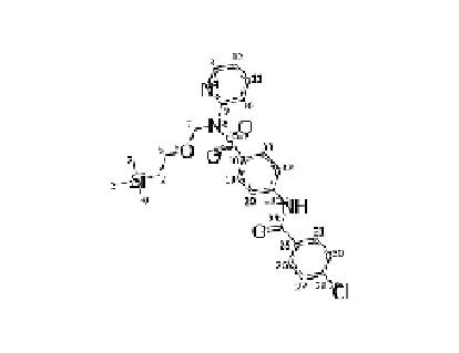 C[Si](C)(C)CCOCN(c1ccccn1)S(=O)(=O)c1ccc(NC(=O)c2ccc(Cl)cc2)cc1